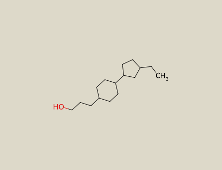 CCC1CCC(C2CCC(CCCO)CC2)C1